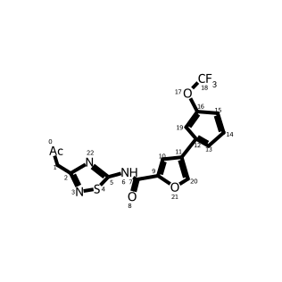 CC(=O)Cc1nsc(NC(=O)c2cc(-c3cccc(OC(F)(F)F)c3)co2)n1